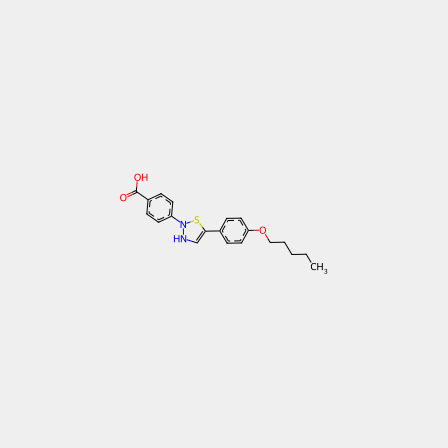 CCCCCOc1ccc(C2=CNN(c3ccc(C(=O)O)cc3)S2)cc1